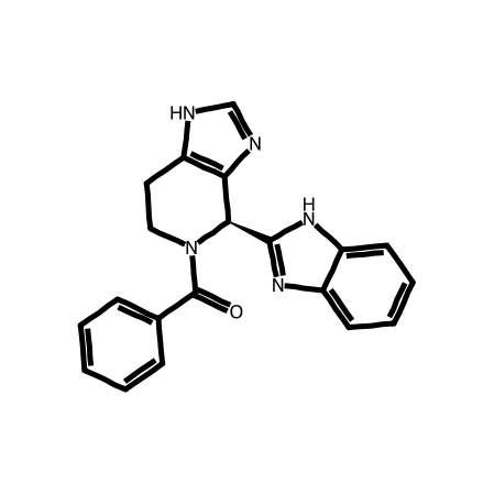 O=C(c1ccccc1)N1CCc2[nH]cnc2[C@H]1c1nc2ccccc2[nH]1